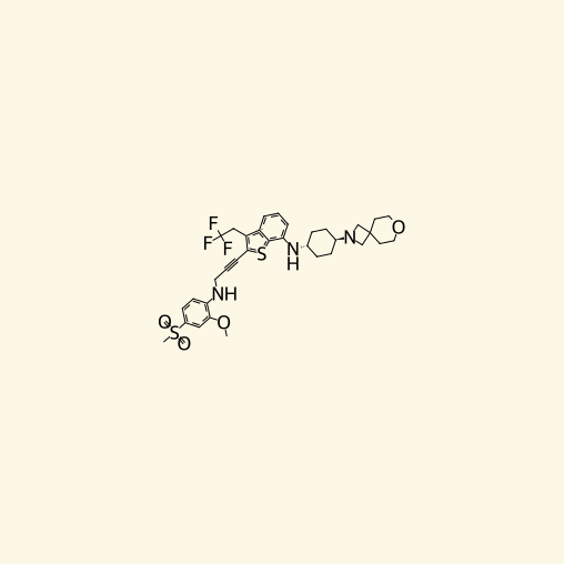 COc1cc(S(C)(=O)=O)ccc1NCC#Cc1sc2c(N[C@H]3CC[C@H](N4CC5(CCOCC5)C4)CC3)cccc2c1CC(F)(F)F